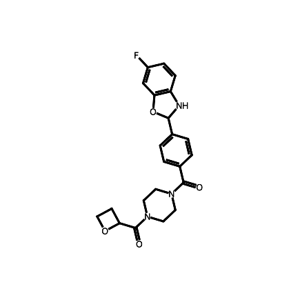 O=C(c1ccc(C2Nc3ccc(F)cc3O2)cc1)N1CCN(C(=O)C2CCO2)CC1